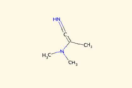 CC(=C=N)N(C)C